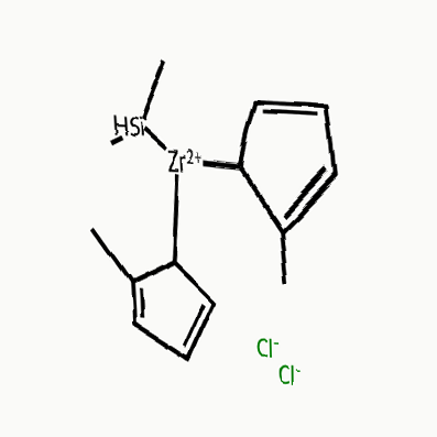 CC1=CC=C[CH]1[Zr+2]([CH]1C=CC=C1C)[SiH](C)C.[Cl-].[Cl-]